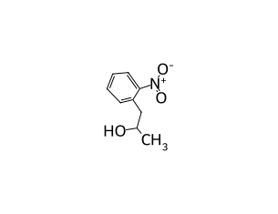 CC(O)Cc1ccccc1[N+](=O)[O-]